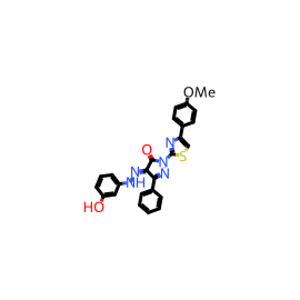 COc1ccc(-c2csc(N3N=C(c4ccccc4)/C(=N\Nc4cccc(O)c4)C3=O)n2)cc1